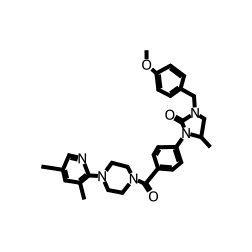 COc1ccc(CN2CC(C)N(c3ccc(C(=O)N4CCN(c5ncc(C)cc5C)CC4)cc3)C2=O)cc1